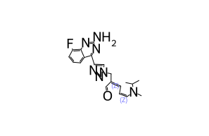 CC(C)N(C)/C=C\C=C(/C=O)Cn1cc(-c2nc(N)nc3c(F)cccc23)nn1